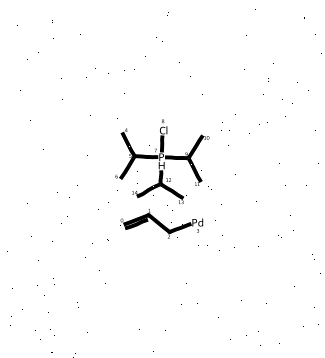 C=C[CH2][Pd].CC(C)[PH](Cl)(C(C)C)C(C)C